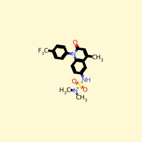 Cc1cc(=O)n(-c2ccc(C(F)(F)F)cc2)c2ccc(NS(=O)(=O)N(C)C)cc12